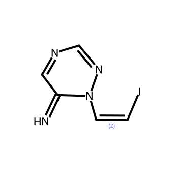 N=c1cncnn1/C=C\I